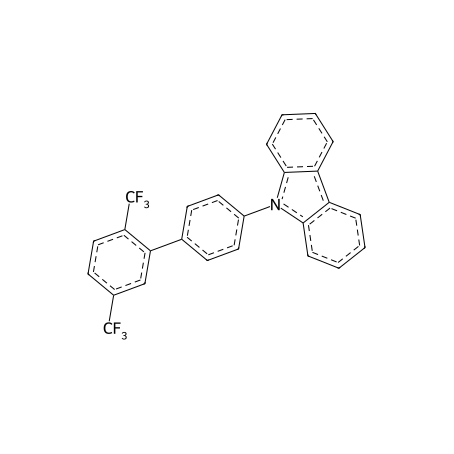 FC(F)(F)c1ccc(C(F)(F)F)c(-c2ccc(-n3c4ccccc4c4ccccc43)cc2)c1